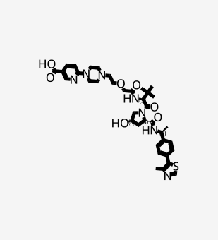 Cc1ncsc1-c1ccc([C@H](C)NC(=O)[C@@H]2C[C@@H](O)CN2C(=O)[C@@H](NC(=O)COCCN2CCN(c3ccc(C(=O)O)cn3)CC2)C(C)(C)C)cc1